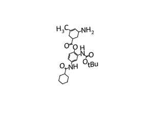 CC1=CC(N)CC(C(=O)Oc2ccc(NC(=O)C3CCCCC3)cc2NC(=O)OC(C)(C)C)C1